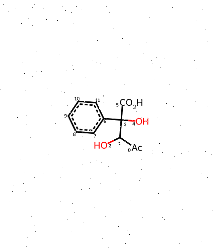 CC(=O)C(O)C(O)(C(=O)O)c1ccccc1